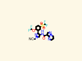 N#CCn1cc(NC(=O)c2cnn3cccnc23)c(-c2cc(S(=O)(=O)C(F)F)ccc2OC(F)F)n1